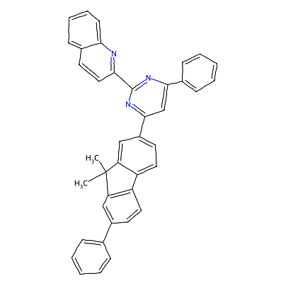 CC1(C)c2cc(-c3ccccc3)ccc2-c2ccc(-c3cc(-c4ccccc4)nc(-c4ccc5ccccc5n4)n3)cc21